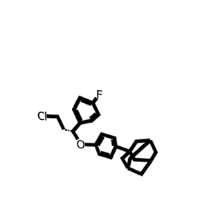 Fc1ccc([C@@H](CCCl)Oc2ccc(C34CC5CC(CC(C5)C3)C4)cc2)cc1